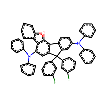 Fc1cccc(C2(c3cccc(F)c3)c3cc(N(c4ccccc4)c4ccccc4)ccc3-c3c2cc(N(c2ccccc2)c2ccccc2)c2c3oc3ccccc32)c1